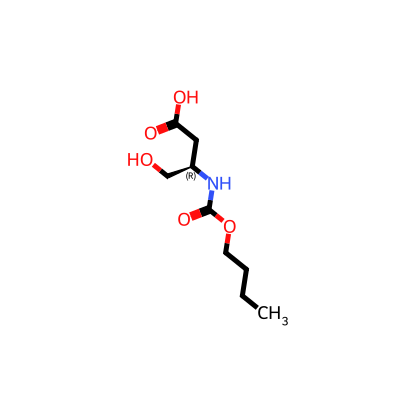 CCCCOC(=O)N[C@@H](CO)CC(=O)O